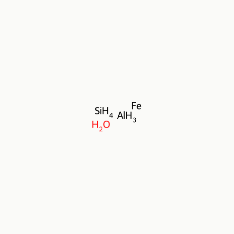 O.[AlH3].[Fe].[SiH4]